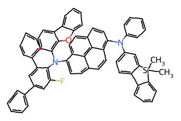 C[Si]1(C)c2ccccc2-c2ccc(N(c3ccccc3)c3ccc4ccc5c(N(c6c(F)cc(-c7ccccc7)cc6-c6ccccc6)c6cccc7c6oc6ccccc67)ccc6ccc3c4c65)cc21